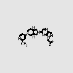 FC(F)Cn1ncc2ncc(N3C[C@H]4CCN(c5ccnc(C(F)(F)F)c5)C[C@H]4C3)nc21